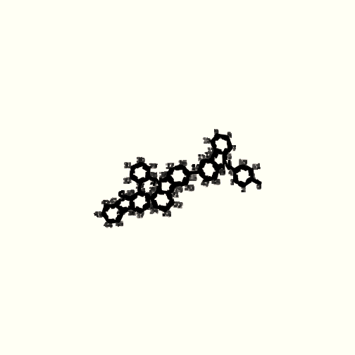 Cc1ccc(-n2c3ccccc3c3cc(-c4ccc5c(c4)c4ccccc4n5-c4ccccc4-c4cccc5c4sc4ccccc45)ccc32)cc1